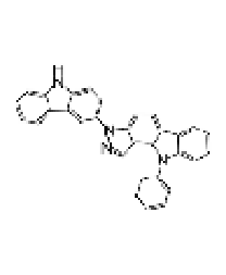 C1=CCCC(n2c3ccccc3c3ccc4c(cnn4-c4ccc5[nH]c6ccccc6c5c4)c32)=C1